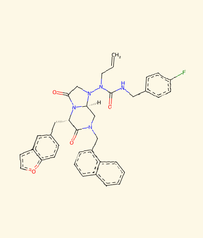 C=CCN(C(=O)NCc1ccc(F)cc1)N1CC(=O)N2[C@@H](Cc3ccc4occc4c3)C(=O)N(Cc3cccc4ccccc34)C[C@@H]21